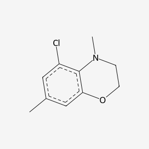 Cc1cc(Cl)c2c(c1)OCCN2C